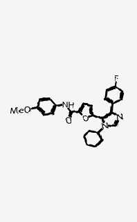 COc1ccc(NC(=O)c2ccc(-c3c(-c4ccc(F)cc4)ncn3C3CCCCC3)o2)cc1